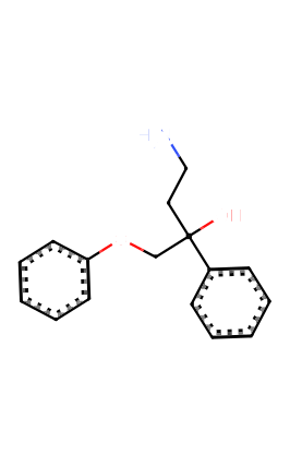 NCCC(O)(COc1ccccc1)c1ccccc1